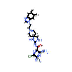 Cc1cc2ncn(CCN3CCC4(CC3)CN/C(=N\C(=O)c3nc(Cl)c(N)nc3N)N4)c2cc1C